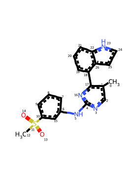 Cc1cnc(Nc2cccc(S(C)(=O)=O)c2)nc1-c1cccc2[nH]ccc12